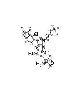 C[C@@H]1OCC2(CCN(c3nc4c(nc3CO)c(-c3ccc5nn(C)c(Cl)c5c3Cl)nn4COCC[Si](C)(C)C)CC2)[C@@H]1N